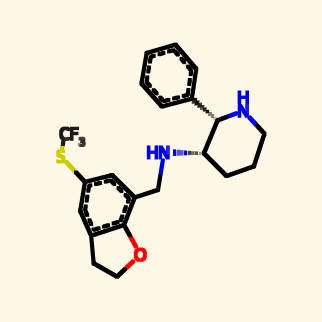 FC(F)(F)Sc1cc2c(c(CN[C@H]3CCCN[C@H]3c3ccccc3)c1)OCC2